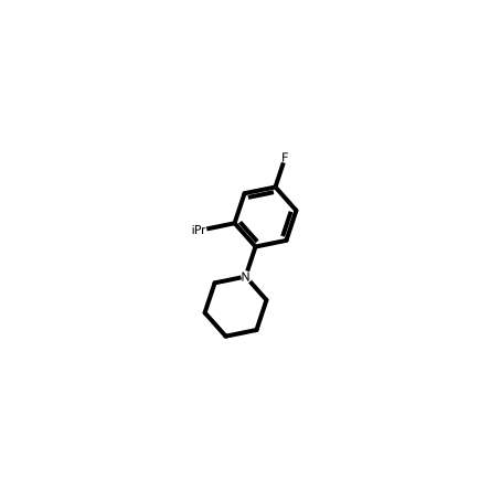 CC(C)c1cc(F)ccc1N1CCCCC1